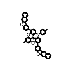 Cc1ccc(N2c3ccc(-c4ccc5oc6cc7ccccc7cc6c5c4)c4c3P3(=O)c5c(cc(C)cc5Oc5c(-c6ccc7oc8cc9ccccc9cc8c7c6)ccc2c53)O4)cc1